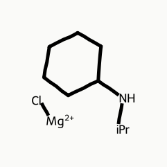 CC(C)NC1CCCCC1.[Mg+2][Cl]